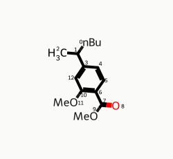 CCCCC(C)c1ccc(C(=O)OC)c(OC)c1